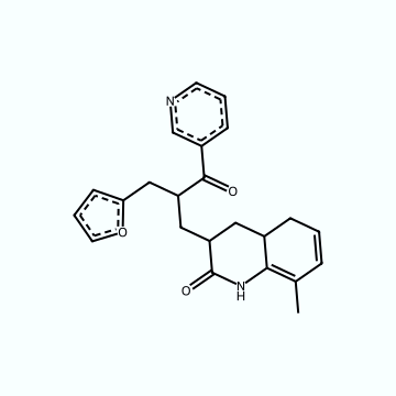 CC1=C2NC(=O)C(CC(Cc3ccco3)C(=O)c3cccnc3)CC2CC=C1